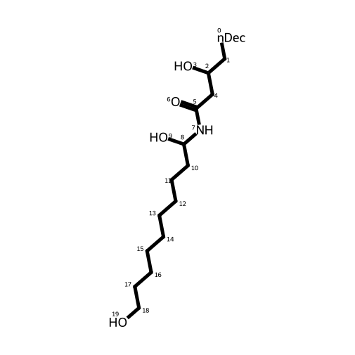 CCCCCCCCCCCC(O)CC(=O)NC(O)CCCCCCCCCO